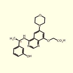 C[C@@H](Nc1ncnc2c(OCC(=O)O)cc(N3CCOCC3)cc12)c1cccc(O)c1